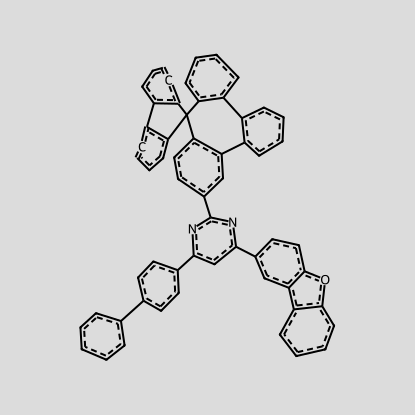 c1ccc(-c2ccc(-c3cc(-c4ccc5oc6ccccc6c5c4)nc(-c4ccc5c(c4)-c4ccccc4-c4ccccc4C54c5ccccc5-c5ccccc54)n3)cc2)cc1